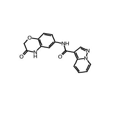 O=C1COc2ccc(NC(=O)c3cnn4ccccc34)cc2N1